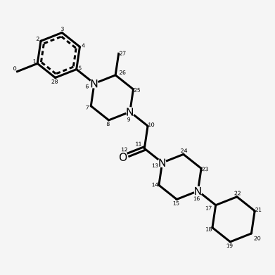 Cc1cccc(N2CCN(CC(=O)N3CCN(C4CCCCC4)CC3)CC2C)c1